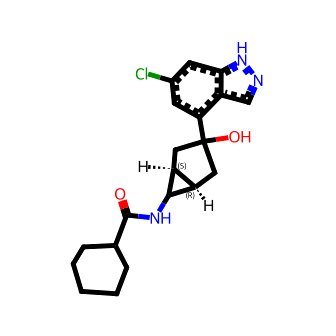 O=C(NC1[C@H]2CC(O)(c3cc(Cl)cc4[nH]ncc34)C[C@@H]12)C1CCCCC1